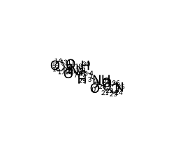 O=C(NCCC1[C@H]2CN(S(=O)(=O)C3CCOCC3)C[C@@H]12)c1cc2ccncc2o1